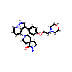 O=C1NCCC12CCN(c1cccn3ncc(-c4ccc(OCCN5CCOCC5)cc4)c13)CC2